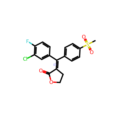 CS(=O)(=O)c1ccc(/C(=C2\CCOC2=O)c2ccc(F)c(Cl)c2)cc1